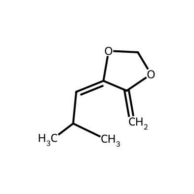 C=C1OCO/C1=C/C(C)C